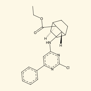 CCOC(=O)[C@H]1C2CCC(CC2)[C@@H]1Nc1cc(-c2ccccc2)nc(Cl)n1